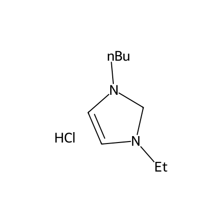 CCCCN1C=CN(CC)C1.Cl